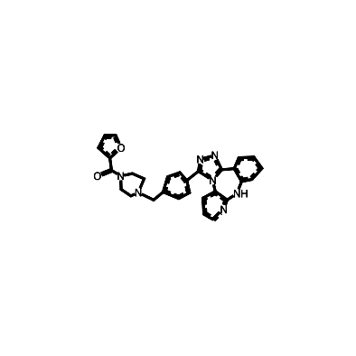 O=C(c1ccco1)N1CCN(Cc2ccc(-c3nnc4n3-c3cccnc3Nc3ccccc3-4)cc2)CC1